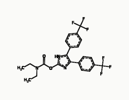 CCN(CC)C(=O)Oc1nc(-c2ccc(C(F)(F)F)cc2)c(-c2ccc(C(F)(F)F)cc2)[nH]1